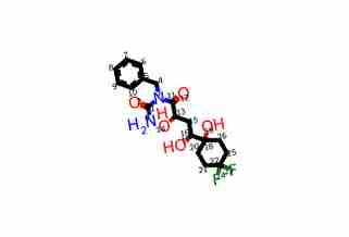 NC(=O)N(Cc1ccccc1)C(=O)C(O)CC(O)C1(O)CCC(F)(F)CC1